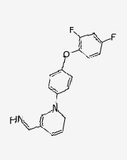 N=CC1=CN(c2ccc(Oc3ccc(F)cc3F)cc2)CC=C1